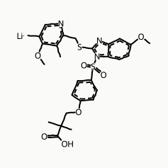 COc1ccc2c(c1)nc(SCc1ncc(C)c(OC)c1C)n2S(=O)(=O)c1ccc(OCC(C)(C)C(=O)O)cc1.[Li]